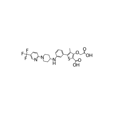 Cc1c(-c2cccc(NC3CCN(c4ccc(C(F)(F)F)cn4)CC3)c2)sc(C(=O)O)c1OCC(=O)O